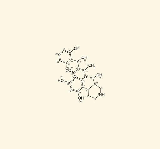 Cc1oc2c(C3CCNCC3CO)c(O)cc(O)c2c(=O)c1C(O)c1c(Cl)cccc1Cl